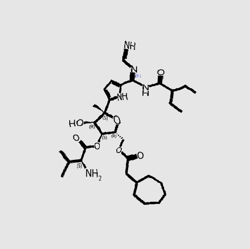 CCC(CC)C(=O)N/C(=N/C=N)c1ccc([C@]2(C)O[C@H](COC(=O)CC3CCCCCC3)[C@@H](OC(=O)[C@@H](N)C(C)C)[C@H]2O)[nH]1